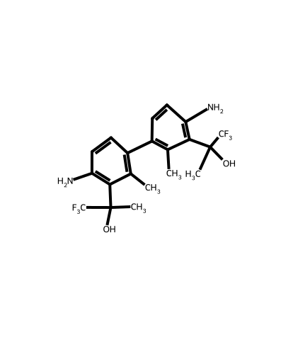 Cc1c(-c2ccc(N)c(C(C)(O)C(F)(F)F)c2C)ccc(N)c1C(C)(O)C(F)(F)F